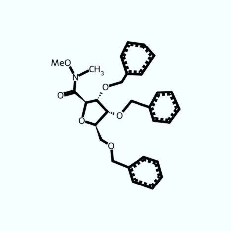 CON(C)C(=O)[C@@H]1O[C@H](COCc2ccccc2)[C@@H](OCc2ccccc2)[C@H]1OCc1ccccc1